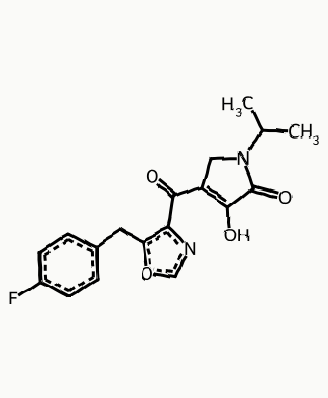 CC(C)N1CC(C(=O)c2ncoc2Cc2ccc(F)cc2)=C(O)C1=O